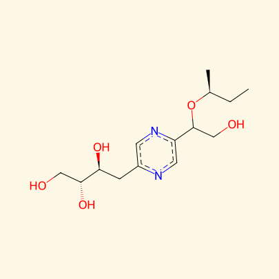 CC[C@H](C)OC(CO)c1cnc(C[C@H](O)[C@H](O)CO)cn1